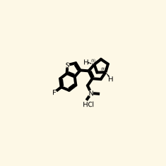 CN(C)CC1=C(c2csc3cc(F)ccc23)[C@H]2CC[C@@H](C1)C2.Cl